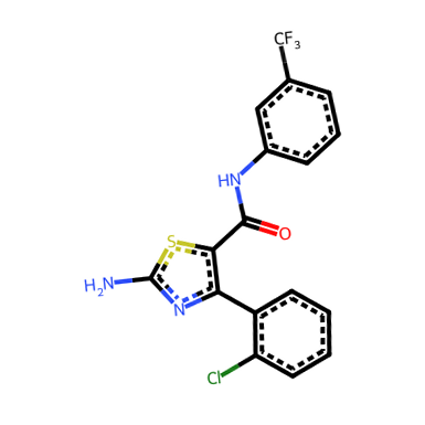 Nc1nc(-c2ccccc2Cl)c(C(=O)Nc2cccc(C(F)(F)F)c2)s1